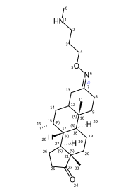 CNCCCO/N=C1/CC[C@@]2(C)C(C1)C[C@@H](C)[C@@H]1[C@@H]2CC[C@]2(C)C(=O)CC[C@@H]12